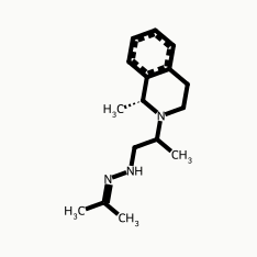 CC(C)=NNCC(C)N1CCc2ccccc2[C@H]1C